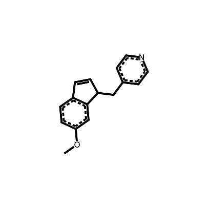 COc1ccc2c(c1)C(Cc1ccncc1)C=C2